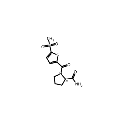 CS(=O)(=O)c1ccc(C(=O)N2CCC[C@@H]2C(N)=O)s1